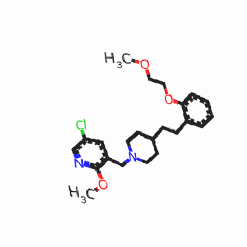 COCCOc1ccccc1CCC1CCN(Cc2cc(Cl)cnc2OC)CC1